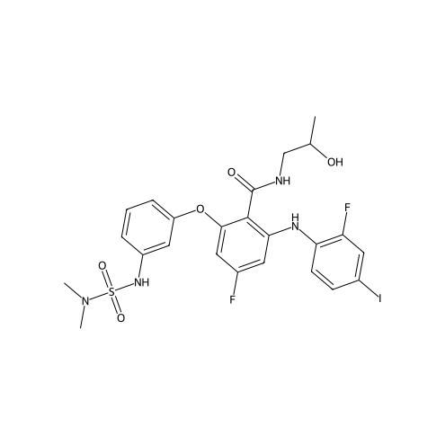 CC(O)CNC(=O)c1c(Nc2ccc(I)cc2F)cc(F)cc1Oc1cccc(NS(=O)(=O)N(C)C)c1